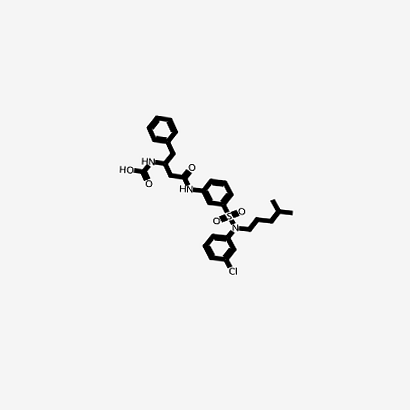 CC(C)CCCN(c1cccc(Cl)c1)S(=O)(=O)c1cccc(NC(=O)CC(Cc2ccccc2)NC(=O)O)c1